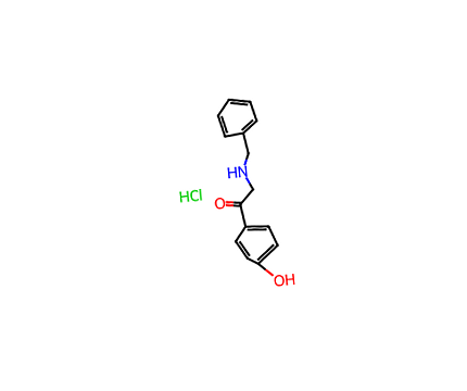 Cl.O=C(CNCc1ccccc1)c1ccc(O)cc1